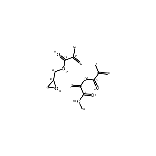 C=C(C)C(=O)OC(=C)C(=O)OC.C=C(C)C(=O)OCC1CO1